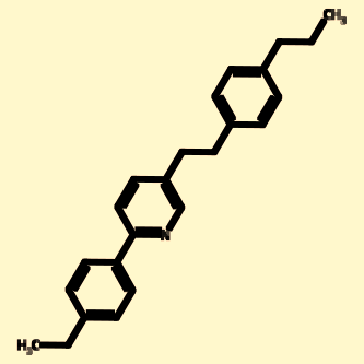 CCCc1ccc(CCc2ccc(-c3ccc(CC)cc3)nc2)cc1